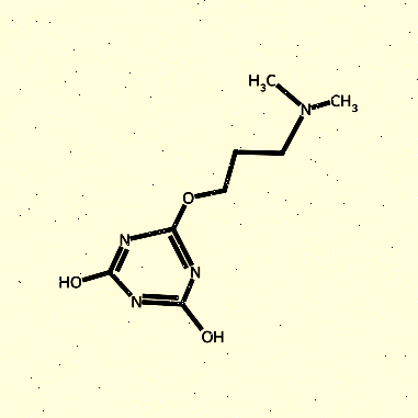 CN(C)CCCOc1nc(O)nc(O)n1